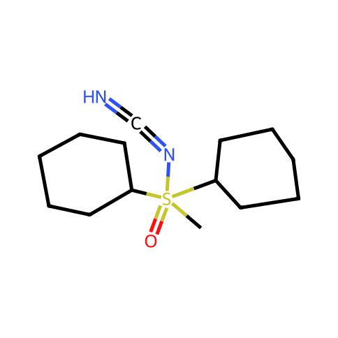 CS(=O)(N=C=N)(C1CCCCC1)C1CCCCC1